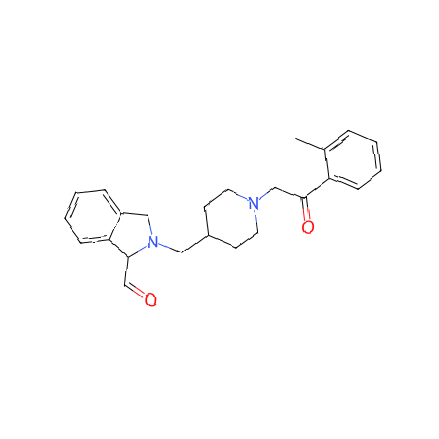 Cc1ccccc1C(=O)CN1CCC(CN2Cc3ccccc3C2C=O)CC1